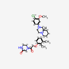 COc1cc(N2CCN3[C@@H](CCC[C@@H]3c3ccc(OCC(=O)N4CCNC(=O)C4)c(C)c3C)C2)ccc1Cl